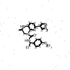 C=C1CN(C(=O)NC(CC)c2ccc(OC(F)(F)F)cc2)c2nc(-c3cnn(C)c3)ccc2N1